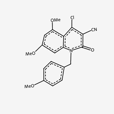 COc1ccc(Cn2c(=O)c(C#N)c(Cl)c3c(OC)cc(OC)cc32)cc1